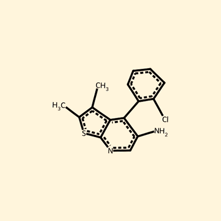 Cc1sc2ncc(N)c(-c3ccccc3Cl)c2c1C